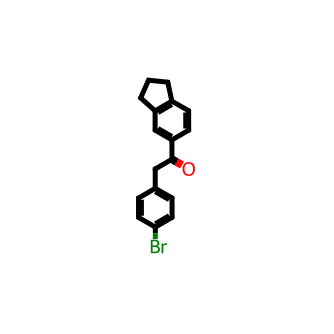 O=C(Cc1ccc(Br)cc1)c1ccc2c(c1)CCC2